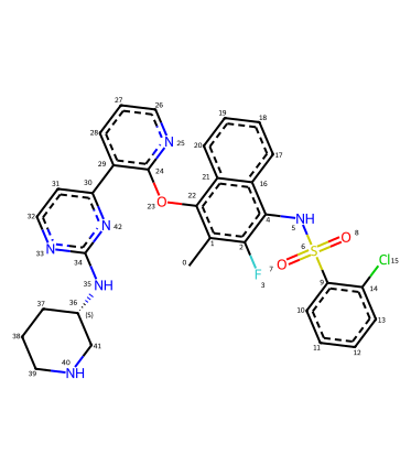 Cc1c(F)c(NS(=O)(=O)c2ccccc2Cl)c2ccccc2c1Oc1ncccc1-c1ccnc(N[C@H]2CCCNC2)n1